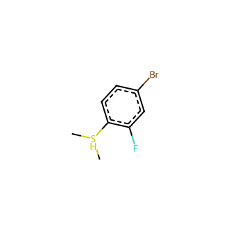 C[SH](C)c1ccc(Br)cc1F